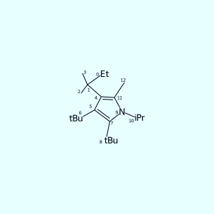 CCC(C)(C)c1c(C(C)(C)C)c(C(C)(C)C)n(C(C)C)c1C